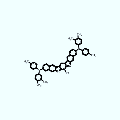 Cc1ccc(N(c2ccc(C)c(C)c2)c2ccc3cc4c(cc3c2)oc2c(C(C)C)c3oc5cc6cc(N(c7ccc(C)cc7)c7ccc(C)c(C)c7)ccc6cc5c3cc24)cc1